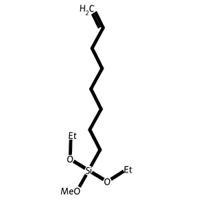 C=CCCCCCC[Si](OC)(OCC)OCC